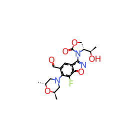 C[C@@H]1CN(c2c(C=O)cc3c(N4C(=O)OC[C@@H]4[C@@H](C)O)noc3c2F)C[C@@H](C)O1